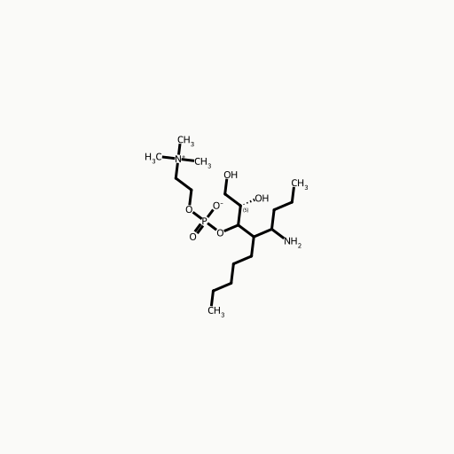 CCCCCC(C(N)CCC)C(OP(=O)([O-])OCC[N+](C)(C)C)[C@@H](O)CO